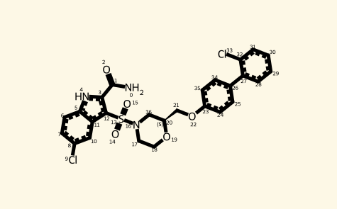 NC(=O)c1[nH]c2ccc(Cl)cc2c1S(=O)(=O)N1CCO[C@H](COc2ccc(-c3ccccc3Cl)cc2)C1